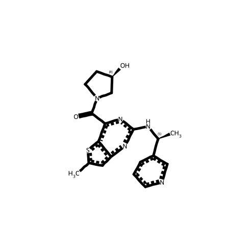 Cc1cc2nc(N[C@@H](C)c3cccnc3)nc(C(=O)N3CC[C@@H](O)C3)c2s1